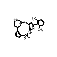 Cc1cccc(C)c1-c1cc2nc(n1)NS(=O)(=O)c1cccc(c1)C1CCNC[C@H](C1)O2